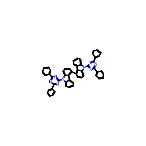 c1ccc(-c2nc(-c3ccccc3)nc(-n3c4ccccc4c4c(-c5cccc6c5c5ccccc5n6-c5nc(-c6ccccc6)nc(-c6ccccc6)n5)cccc43)n2)cc1